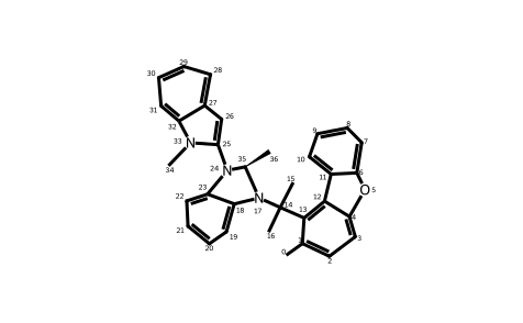 Cc1ccc2oc3ccccc3c2c1C(C)(C)N1c2ccccc2N(c2cc3ccccc3n2C)[C@H]1C